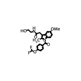 COc1ccc2c(c1)c(CC(=O)NCCO)c(C)n2C(=O)c1ccc(OC(F)F)cc1